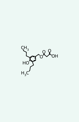 CCCCc1cc(COC(=O)CC(=O)O)cc(CCCC)c1O